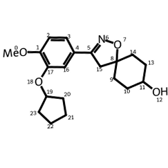 COc1ccc(C2=NOC3(CCC(O)CC3)C2)cc1OC1CCCC1